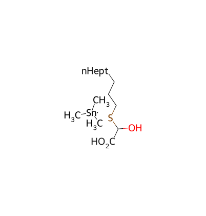 CCCCCCCCCCSC(O)C(=O)O.[CH3][Sn]([CH3])[CH3]